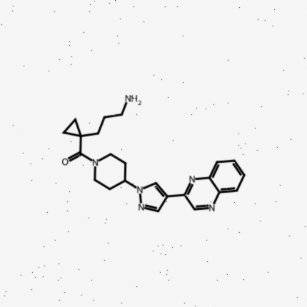 NCCCC1(C(=O)N2CCC(n3cc(-c4cnc5ccccc5n4)cn3)CC2)CC1